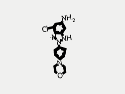 Nc1cc(Cl)c2c(c1)NN(c1ccc(N3CCOCC3)cc1)[N]2